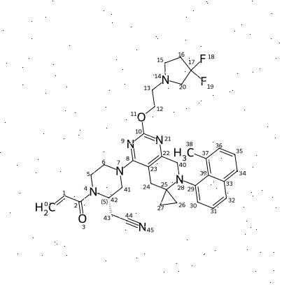 C=CC(=O)N1CCN(c2nc(OCCN3CCC(F)(F)C3)nc3c2CC2(CC2)N(c2cccc4cccc(C)c24)C3)C[C@@H]1CC#N